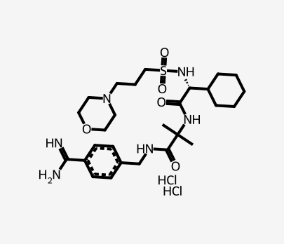 CC(C)(NC(=O)[C@H](NS(=O)(=O)CCCN1CCOCC1)C1CCCCC1)C(=O)NCc1ccc(C(=N)N)cc1.Cl.Cl